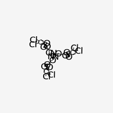 O=S(=O)(OCCOc1nc(OCCOS(=O)(=O)c2ccc(Cl)c(Cl)c2)nc(OCCOS(=O)(=O)c2ccc(Cl)c(Cl)c2)n1)c1ccc(Cl)c(Cl)c1